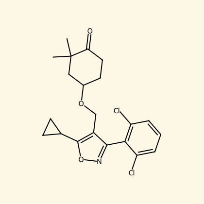 CC1(C)CC(OCc2c(-c3c(Cl)cccc3Cl)noc2C2CC2)CCC1=O